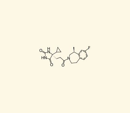 C[C@@H]1CN(C(=O)CC[C@@]2(C3CC3)NC(=O)NC2=O)CCc2ccc(F)cc21